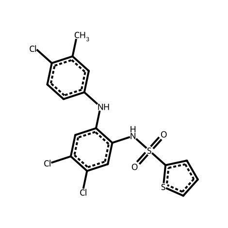 Cc1cc(Nc2cc(Cl)c(Cl)cc2NS(=O)(=O)c2cccs2)ccc1Cl